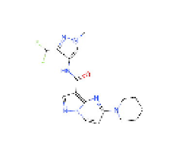 Cn1cc(NC(=O)c2cnn3ccc(N4CCCCC4)nc23)c(C(F)F)n1